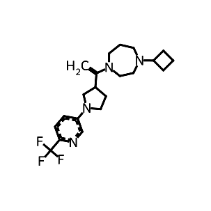 C=C(C1CCN(c2ccc(C(F)(F)F)nc2)C1)N1CCCN(C2CCC2)CC1